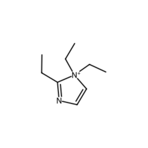 CCC1=NC=C[N+]1(CC)CC